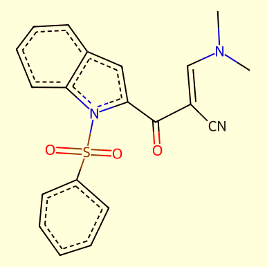 CN(C)C=C(C#N)C(=O)c1cc2ccccc2n1S(=O)(=O)c1ccccc1